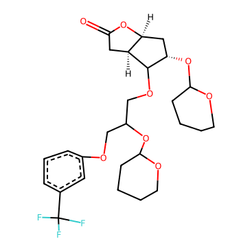 O=C1C[C@@H]2C(OCC(COc3cccc(C(F)(F)F)c3)OC3CCCCO3)[C@@H](OC3CCCCO3)C[C@@H]2O1